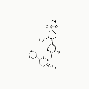 CC1CC(S(C)(=O)=O)CCN1c1ccc(CN2SC(c3ccccc3)CC[C@@H]2C)c(F)c1